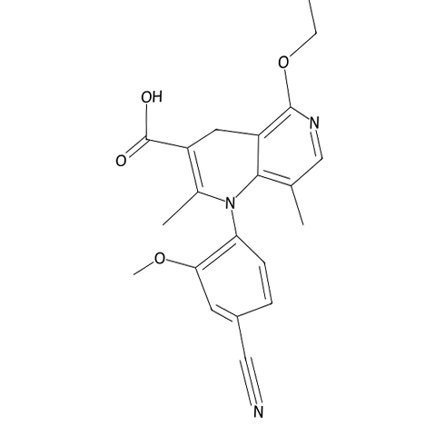 CCOc1ncc(C)c2c1CC(C(=O)O)=C(C)N2c1ccc(C#N)cc1OC